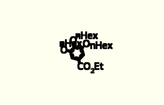 CCCCCCOc1cc(C(=O)OCC)cc(OCCCCCC)c1OCCCCCC